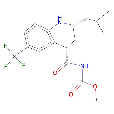 COC(=O)NC(=O)[C@H]1C[C@@H](CC(C)C)Nc2ccc(C(F)(F)F)cc21